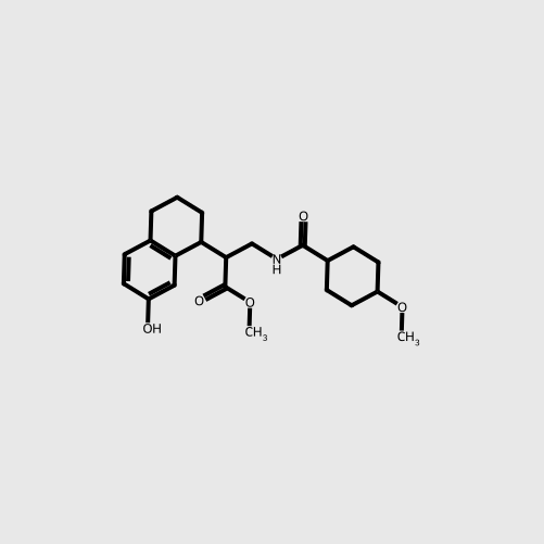 COC(=O)C(CNC(=O)C1CCC(OC)CC1)C1CCCc2ccc(O)cc21